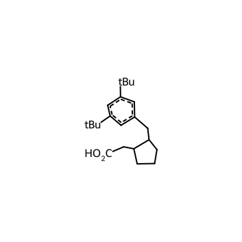 CC(C)(C)c1cc(CC2CCCC2CC(=O)O)cc(C(C)(C)C)c1